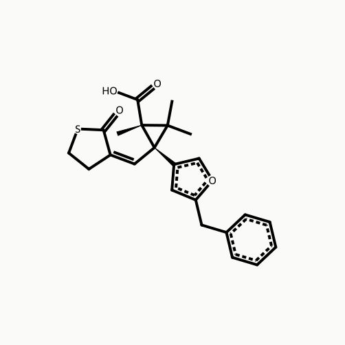 CC1(C)[C@@](C)(C(=O)O)[C@]1(C=C1CCSC1=O)c1coc(Cc2ccccc2)c1